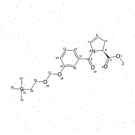 COC(=O)[C@@H]1CC=CN1C(=O)c1cccc(OCOCC[Si](C)(C)C)c1